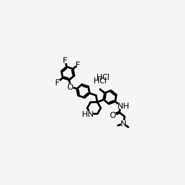 Cc1ccc(NC(=O)CN(C)C)cc1C1(Cc2ccc(Oc3cc(F)c(F)cc3F)cc2)CCNCC1.Cl.Cl